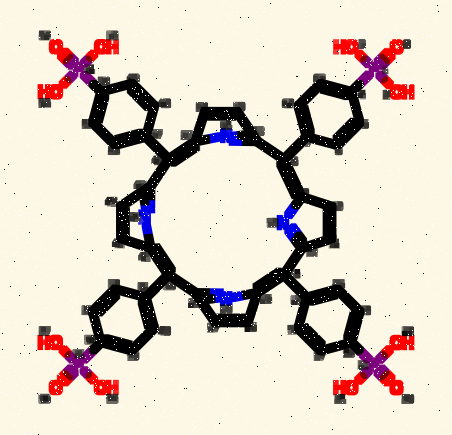 O=P(O)(O)c1ccc(C2=C3C=CC(=N3)C(c3ccc(P(=O)(O)O)cc3)=C3C=CC(=N3)C(c3ccc(P(=O)(O)O)cc3)=C3C=CC(=N3)C(c3ccc(P(=O)(O)O)cc3)=C3C=CC2=N3)cc1